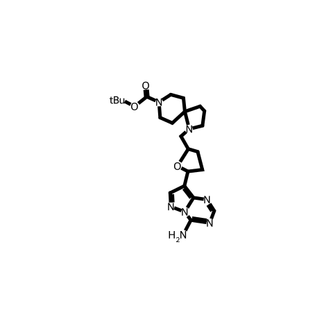 CC(C)(C)OC(=O)N1CCC2(CCCN2CC2CCC(c3cnn4c(N)ncnc34)O2)CC1